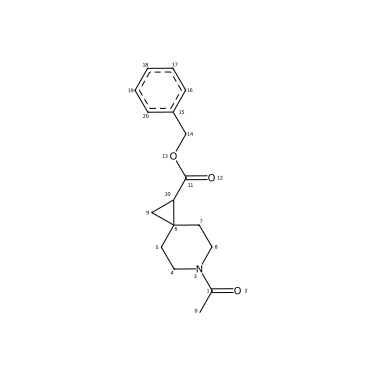 CC(=O)N1CCC2(CC1)CC2C(=O)OCc1ccccc1